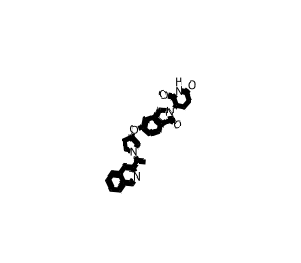 CC(c1cc2ccccc2cn1)N1CC[C@@H](Oc2ccc3c(c2)CN(C2CCC(=O)NC2=O)C3=O)C1